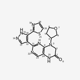 O=C1CN(C2CCOC2)c2nc(-c3cn[nH]c3-c3nccs3)ncc2N1